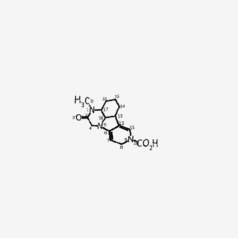 CN1C(=O)CN2C3=CCN(C(=O)O)C=C3C3CCCC1C32